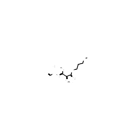 CN/C(=N\OC=O)c1nonc1OCCCSC